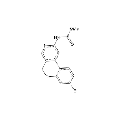 COC(=O)Nc1cc2c(cn1)COc1cc(Cl)ccc1-2